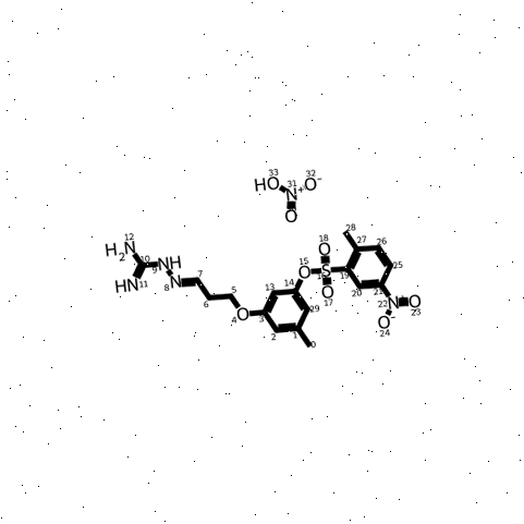 Cc1cc(OCCC=NNC(=N)N)cc(OS(=O)(=O)c2cc([N+](=O)[O-])ccc2C)c1.O=[N+]([O-])O